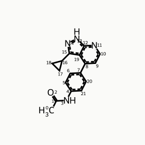 CC(=O)Nc1ccc(-c2ccnc3[nH]nc(C4CC4)c23)cc1